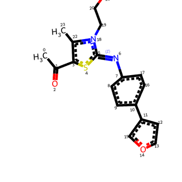 CC(=O)c1s/c(=N\c2ccc(-c3ccoc3)cc2)n(CCO)c1C